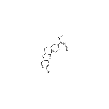 CCC(Oc1ccc(Br)cc1)C(=O)N1CCN(/C(=N\C#N)SC)CC1